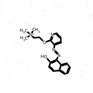 C[N+](C)(C)CCOc1ncccc1/N=N/c1c(O)ccc2ccccc12